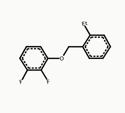 CCc1ccccc1COc1cccc(F)c1F